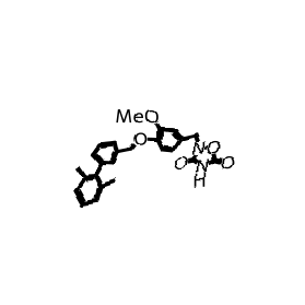 COc1cc(Cn2oc(=O)[nH]c2=O)ccc1OCc1cccc(-c2c(C)cccc2C)c1